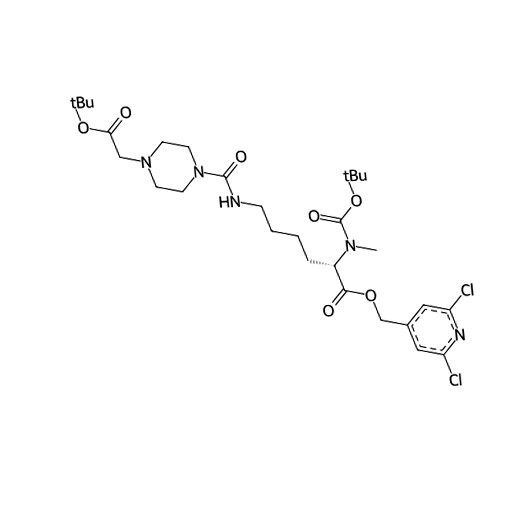 CN(C(=O)OC(C)(C)C)[C@@H](CCCCNC(=O)N1CCN(CC(=O)OC(C)(C)C)CC1)C(=O)OCc1cc(Cl)nc(Cl)c1